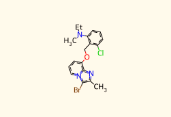 CCN(C)c1cccc(Cl)c1COc1cccn2c(Br)c(C)nc12